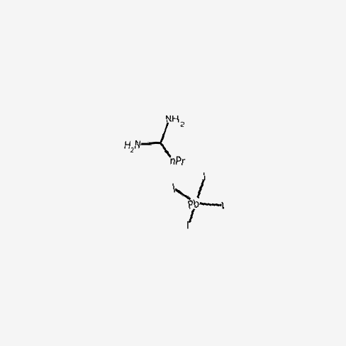 [CH2]CCC(N)N.[I][Pb]([I])([I])[I]